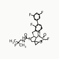 CC(C)(F)CNC(=O)N1CC2(CC2)[C@H](NS(=O)(=O)CF)[C@@H]1Cc1cccc(-c2cc(F)cc(F)c2)c1F